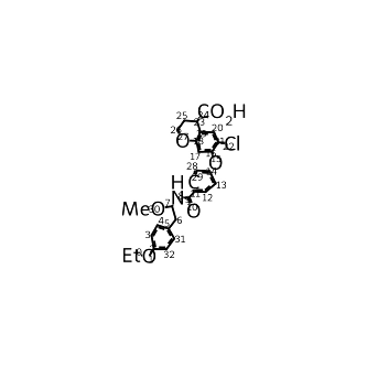 CCOc1ccc(CC(NC(=O)c2ccc(Oc3cc4c(cc3Cl)C(C(=O)O)CCO4)cc2)OC)cc1